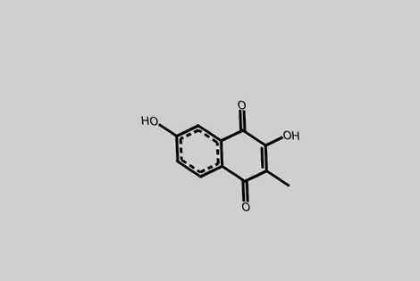 CC1=C(O)C(=O)c2cc(O)ccc2C1=O